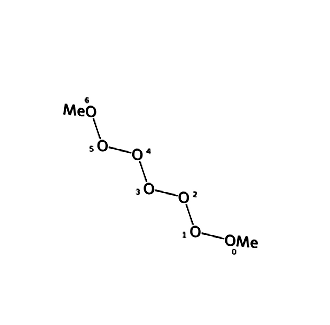 COOOOOOOC